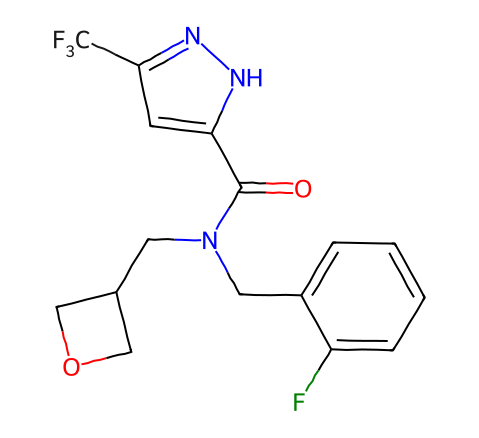 O=C(c1cc(C(F)(F)F)n[nH]1)N(Cc1ccccc1F)CC1COC1